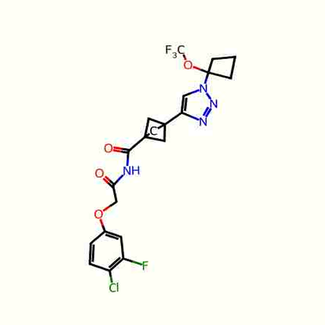 O=C(COc1ccc(Cl)c(F)c1)NC(=O)C12CC(c3cn(C4(OC(F)(F)F)CCC4)nn3)(C1)C2